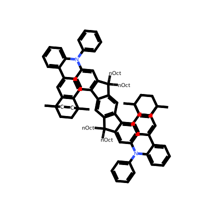 CCCCCCCCC1(CCCCCCCC)c2cc(N(c3ccccc3)c3ccccc3-c3ccc4c(c3)C3(C)CCC4(C)CC3)ccc2-c2cc3c(cc21)-c1ccc(N(c2ccccc2)c2ccccc2-c2ccc4c(c2)C2(C)CCC4(C)CC2)cc1C3(CCCCCCCC)CCCCCCCC